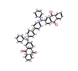 O=C1c2ccccc2C(=O)c2cc(N(c3ccccc3)c3ccc(-c4ccc(N(c5ccccc5)c5ccc6c(c5)C(=O)c5ccccc5C6=O)cc4)cc3)ccc21